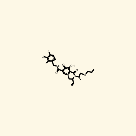 C=CC1Cn2cc(C(=O)NCc3ccc(F)c(Cl)c3F)c(=O)c(O)c2C(=O)N1[C@H](C)COCCC